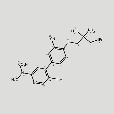 CC(C)CC(C)(N)COc1ccc(-c2cc(N(C)C(=O)O)ncc2F)cc1C#N